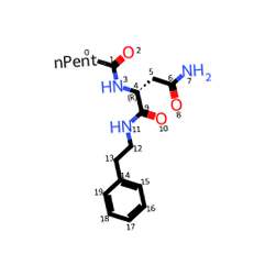 CCCCCC(=O)N[C@H](CC(N)=O)C(=O)NCCc1ccccc1